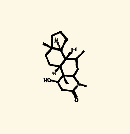 CC1CC2N(C)C(=O)CC(O)[C@]2(C)[C@@H]2CC[C@]3(C)CCC[C@H]3[C@H]12